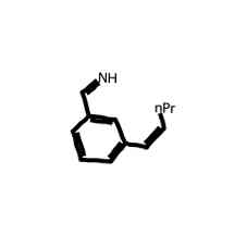 CCC/C=C\c1cccc(C=N)c1